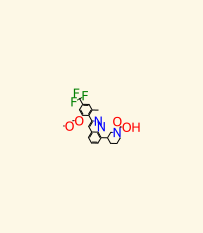 COCOc1cc(C(F)(F)F)cc(C)c1-c1cc2cccc(C3CCCN(C(=O)O)C3)c2nn1